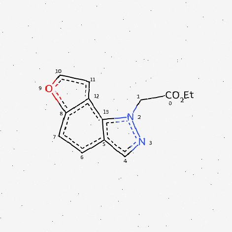 CCOC(=O)Cn1ncc2ccc3occc3c21